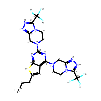 CCCc1cc2c(N3CCn4c(nnc4C(F)(F)F)C3)nc(N3CCn4c(nnc4C(F)(F)F)C3)nc2s1